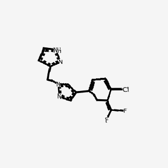 FC(F)=C1CC(c2cnn(Cc3cc[nH]n3)c2)=CC=C1Cl